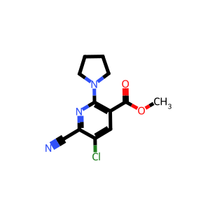 COC(=O)c1cc(Cl)c(C#N)nc1N1CCCC1